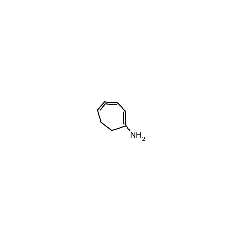 NC1=CC=C=CCC1